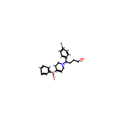 [O-][S+](C1=CCN(C(CCCO)c2ccc(F)cc2)CC1)c1ccccc1